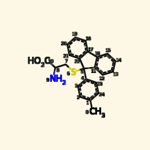 Cc1ccc(C2(SCC(N)C(=O)O)c3ccccc3-c3ccccc32)cc1